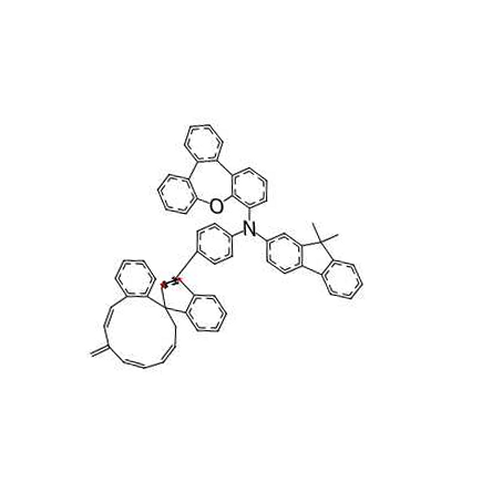 C=C1/C=C\C=C/CC2(c3ccccc3/C=C\1)c1ccccc1-c1c(-c3ccc(N(c4ccc5c(c4)C(C)(C)c4ccccc4-5)c4cccc5c4Oc4ccccc4-c4ccccc4-5)cc3)cccc12